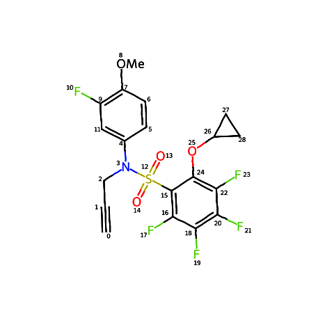 C#CCN(c1ccc(OC)c(F)c1)S(=O)(=O)c1c(F)c(F)c(F)c(F)c1OC1CC1